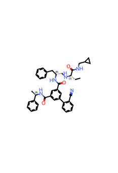 CC[C@H](NC[C@@H](Cc1ccccc1)NC(=O)c1cc(C(=O)N[C@H](C)c2ccccc2)cc(-c2ccccc2C#N)c1)C(=O)NCC1CC1